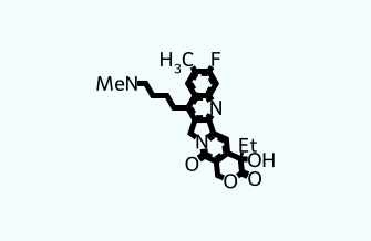 CC[C@@]1(O)C(=O)OCc2c1cc1n(c2=O)Cc2c-1nc1cc(F)c(C)cc1c2CCCCNC